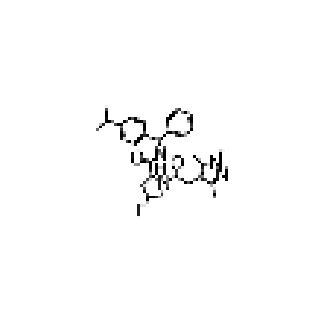 Cc1nn(C)c(C)c1CC(=O)N1CC(F)CC1C(=O)NC(c1ccccc1)c1ccc(C(C)C)cc1